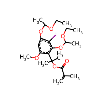 C=C(C)C(=O)OC(C)(C)c1c(OC)cc(OC(C)OCC)c(I)c1OC(C)OCC